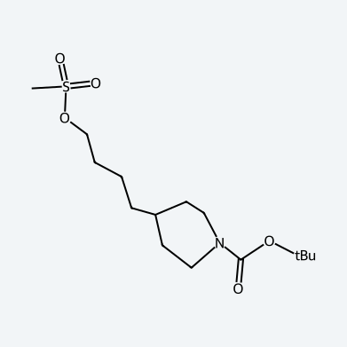 CC(C)(C)OC(=O)N1CCC(CCCCOS(C)(=O)=O)CC1